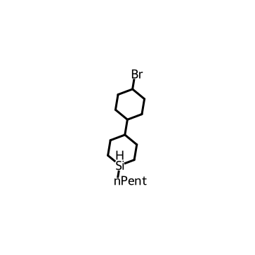 CCCCC[SiH]1CCC(C2CCC(Br)CC2)CC1